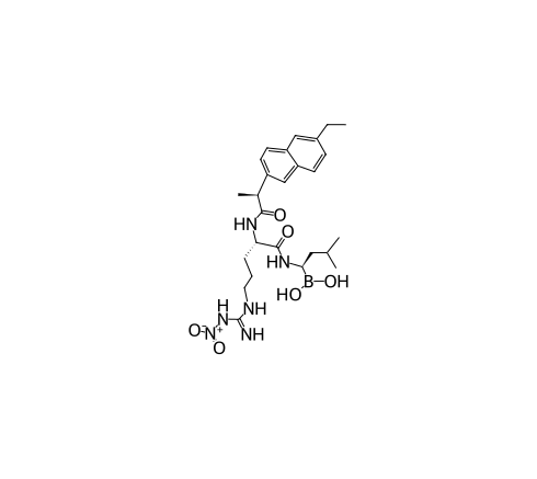 CCc1ccc2cc([C@H](C)C(=O)N[C@@H](CCCNC(=N)N[N+](=O)[O-])C(=O)N[C@@H](CC(C)C)B(O)O)ccc2c1